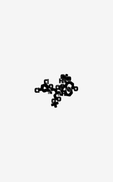 CC(C)(C)OC(=O)C[C@H](NC(=O)[C@@H]1CCCN2C(=O)CC[C@H](NS(C)(=O)=O)C(=O)N12)C(O)c1nc2cc(Cl)cc(Cl)c2o1